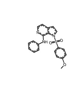 COc1ccc(S(=O)(=O)n2ccc3ccnc(Nc4ccccc4)c32)cc1